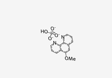 COc1cc2cccnc2c2ncccc12.[O-][I+3]([O-])([O-])O